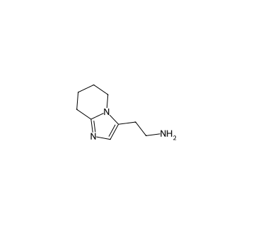 NCCc1cnc2n1CCCC2